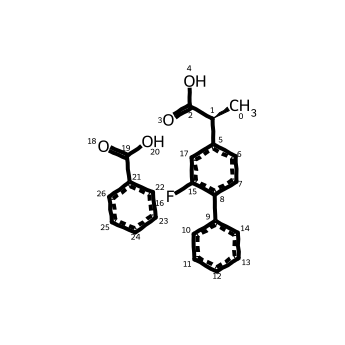 C[C@H](C(=O)O)c1ccc(-c2ccccc2)c(F)c1.O=C(O)c1ccccc1